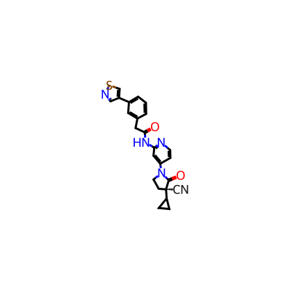 N#C[C@@]1(C2CC2)CCN(c2ccnc(NC(=O)Cc3cccc(-c4cnsc4)c3)c2)C1=O